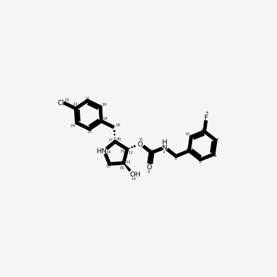 O=C(NCc1cccc(F)c1)O[C@@H]1[C@@H](O)CN[C@@H]1Cc1ccc(Cl)cc1